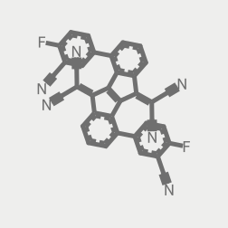 N#CC(C#N)=C1C2=C(C(=C(C#N)C#N)c3cccc(-c4ccc(F)c(C#N)c4)c32)c2c1cccc2-c1ccc(F)c(C#N)c1